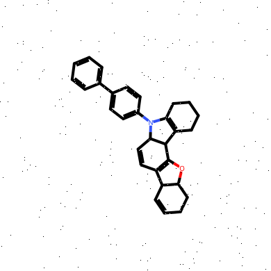 C1=CC2C3=C(OC2CC1)C1C2=C(CCCC2)N(c2ccc(-c4ccccc4)cc2)C1C=C3